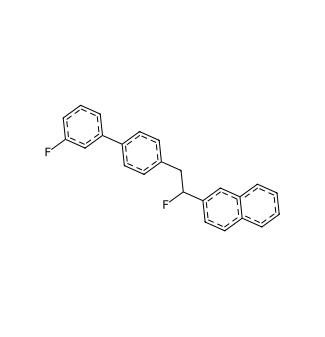 Fc1cccc(-c2ccc(CC(F)c3ccc4ccccc4c3)cc2)c1